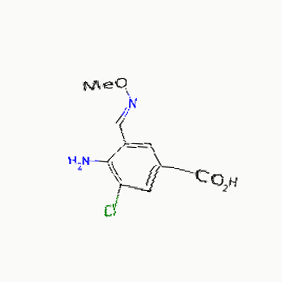 CON=Cc1cc(C(=O)O)cc(Cl)c1N